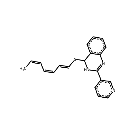 C\C=C/C=C\C=C\SC1NC(c2cccnc2)=Nc2ccccc21